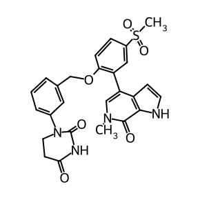 Cn1cc(-c2cc(S(C)(=O)=O)ccc2OCc2cccc(N3CCC(=O)NC3=O)c2)c2cc[nH]c2c1=O